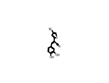 N#C/C(=C\c1ccc(O)c(O)c1)c1cc(Br)cs1